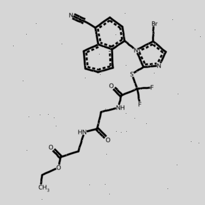 CCOC(=O)CNC(=O)CNC(=O)C(F)(F)Sc1ncc(Br)n1-c1ccc(C#N)c2ccccc12